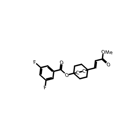 COC(=O)C=CC12CCC(OC(=O)c3cc(F)cc(F)c3)(CC1)CC2